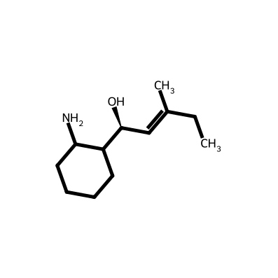 CC/C(C)=C/[C@H](O)C1CCCCC1N